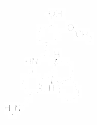 COc1cc(C2Nc3ccc(CN)cc3[C@H]3c4ccccc4CC[C@@H]23)ccc1O